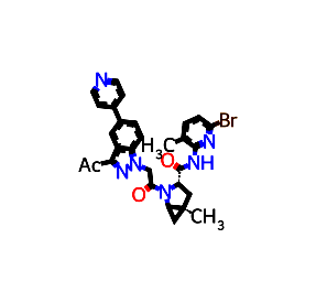 CC(=O)c1nn(CC(=O)N2C3C[C@]3(C)C[C@H]2C(=O)Nc2nc(Br)ccc2C)c2ccc(-c3ccncc3)cc12